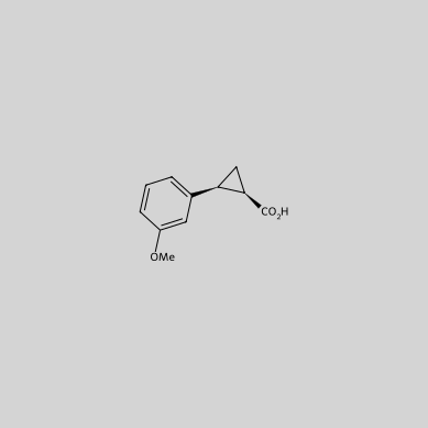 COc1cccc([C@H]2C[C@H]2C(=O)O)c1